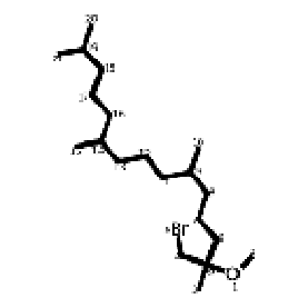 COC(C)(CBr)CCCC(C)CCCC(C)CCCC(C)C